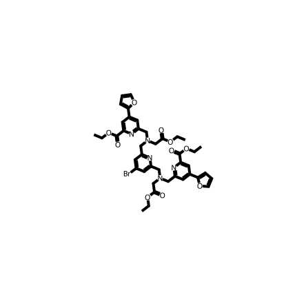 CCOC(=O)CN(Cc1cc(Br)cc(CN(CC(=O)OCC)Cc2cc(-c3ccco3)cc(C(=O)OCC)n2)n1)Cc1cc(-c2ccco2)cc(C(=O)OCC)n1